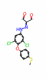 CSc1ccc(Oc2c(Cl)cc(NN=C([C]=O)[C]=O)cc2Cl)cc1